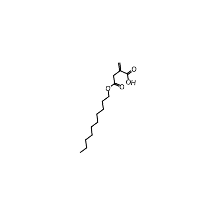 C=C(CC(=O)OCCCCCCCCCC)C(=O)O